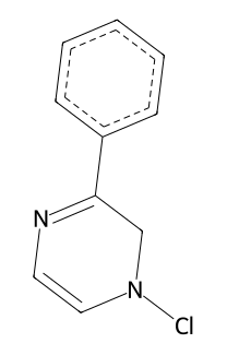 ClN1C=CN=C(c2ccccc2)C1